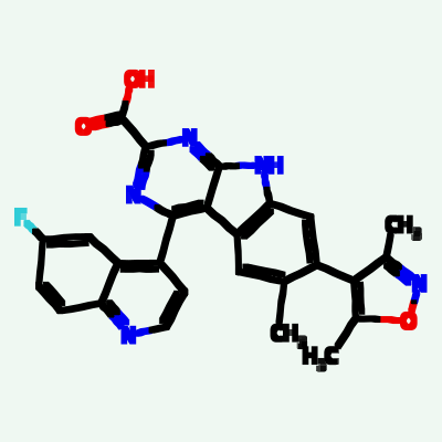 Cc1cc2c(cc1-c1c(C)noc1C)[nH]c1nc(C(=O)O)nc(-c3ccnc4ccc(F)cc34)c12